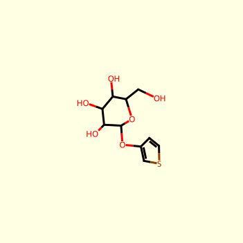 OCC1OC(Oc2ccsc2)C(O)C(O)C1O